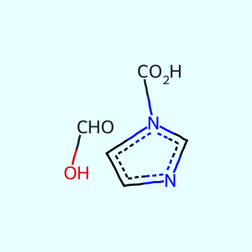 O=C(O)n1ccnc1.O=CO